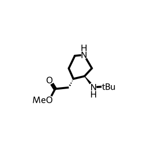 COC(=O)C[C@@H]1CCNC[C@H]1NC(C)(C)C